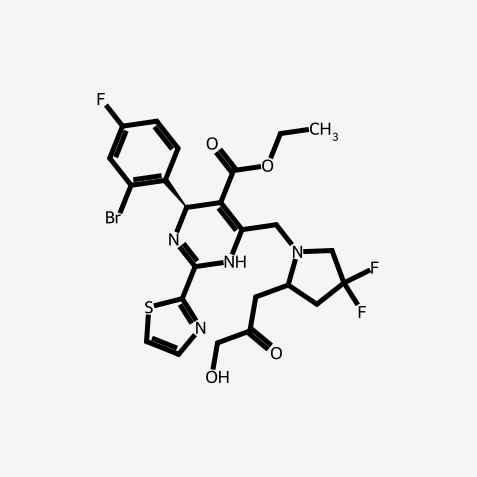 CCOC(=O)C1=C(CN2CC(F)(F)CC2CC(=O)CO)NC(c2nccs2)=N[C@H]1c1ccc(F)cc1Br